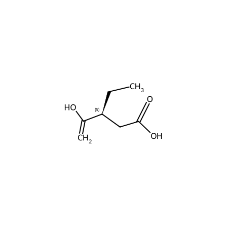 C=C(O)[C@@H](CC)CC(=O)O